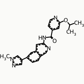 CC(C)Oc1cc(C(=O)Nc2cc3cc(-c4cnn(C)c4)ccc3cn2)ccn1